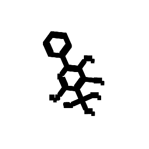 Bc1nc(-c2ccccc2)c(B)c(B)c1C(B)(B)C(C)(C)C